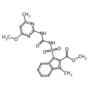 COC(=O)c1c(S(=O)(=O)NC(=O)Nc2nc(C)cc(OC)n2)c2ccccc2n1C